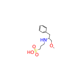 COCC(Cc1ccccc1)NCCCS(=O)(=O)O